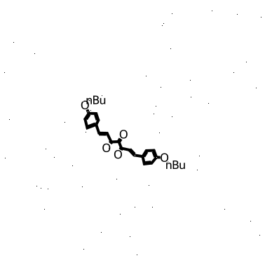 CCCCOc1ccc(C=CC(=O)C(=O)C(=O)C=Cc2ccc(OCCCC)cc2)cc1